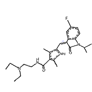 CCN(CC)CCNC(=O)c1c(C)[nH]c(/C=C2\C(=O)N(C(C)C)c3ccc(F)cc32)c1C